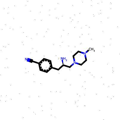 CN1CCN(C[C@H](N)Cc2ccc(C#N)cc2)CC1